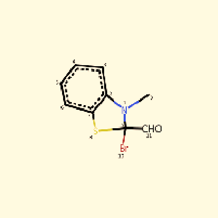 CN1c2ccccc2SC1(Br)C=O